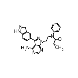 C=CC(=O)N(CCn1nc(-c2ccc3[nH]ncc3c2)c2c(N)ncnc21)c1ccccc1